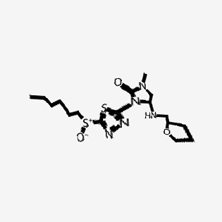 CCCCCC[S+]([O-])c1nnc(N2C(=O)N(C)CC2NCC2CCCO2)s1